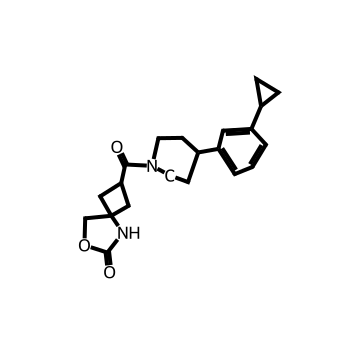 O=C1NC2(CO1)CC(C(=O)N1CCC(c3cccc(C4CC4)c3)CC1)C2